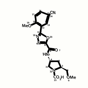 COC[C@@H]1C[C@@H](NC(=O)c2nnc(-c3cc(C#N)ccc3OC)o2)CN1C(=O)O